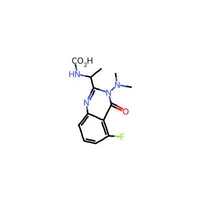 CC(NC(=O)O)c1nc2cccc(F)c2c(=O)n1N(C)C